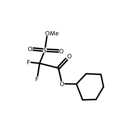 COS(=O)(=O)C(F)(F)C(=O)OC1CCCCC1